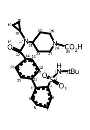 CC(C)(C)NS(=O)(=O)c1ccccc1-c1ccc(C(=O)N(C2CC2)C2CCN(C(=O)O)CC2)cc1